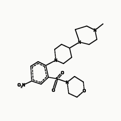 CN1CCN(C2CCN(c3ccc([N+](=O)[O-])cc3S(=O)(=O)N3CCOCC3)CC2)CC1